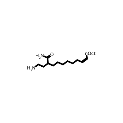 CCCCCCCC/C=C\CCCCCCC(CCN)C(N)=O